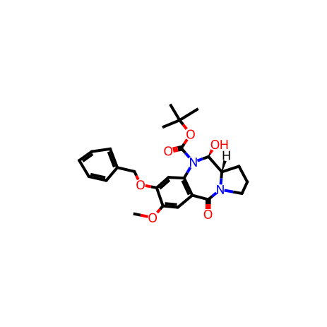 COc1cc2c(cc1OCc1ccccc1)N(C(=O)OC(C)(C)C)[C@@H](O)[C@@H]1CCCN1C2=O